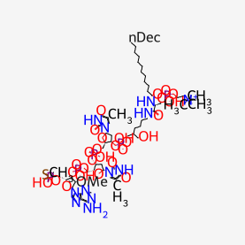 CCCCCCCCCCCCCCCCCCCCCC(=O)N[C@@H](COP(=O)(O)OCC[N+](C)(C)C)C(=O)NCCCCC(CO)COP(=O)(O)O[C@@H]1C[C@H](n2cc(C)c(=O)[nH]c2=O)O[C@@H]1COP(=O)(O)O[C@@H]1C[C@H](n2cc(C)c(=O)[nH]c2=O)O[C@@H]1COP(=O)(O)O[C@@H]1C(OC)[C@H](n2cnc3c(N)ncnc32)O[C@@H]1COP(C)(O)=S